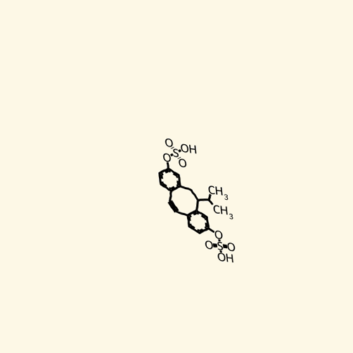 CC(C)C1Cc2cc(OS(=O)(=O)O)ccc2C#Cc2ccc(OS(=O)(=O)O)cc21